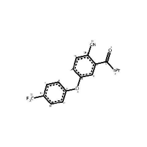 CCCC(=O)c1cc(Oc2ccc(C(F)(F)F)cc2)ccc1C#N